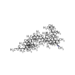 C/C=C/C[C@@H](C)[C@@H](OC(C)=O)[C@@H](C(=O)N[C@@H](CC)C(=O)N(C)[C@H](C)C(=O)OC(C)(C)C)N(C)C(=O)[C@H](C(C)C)N(C)C(=O)[C@H](CC(C)C)N(C)C(=O)[C@H](CC(C)C)N(C)C(=O)[C@@H](C)NC(=O)[C@H](C)NC(=O)[C@H](CC(C)C)N(C)C(=O)[C@@H](NC(=O)[C@H]([C@H](C)CCC(=O)OCC)N(C)C(=O)OC(C)(C)C)C(C)C